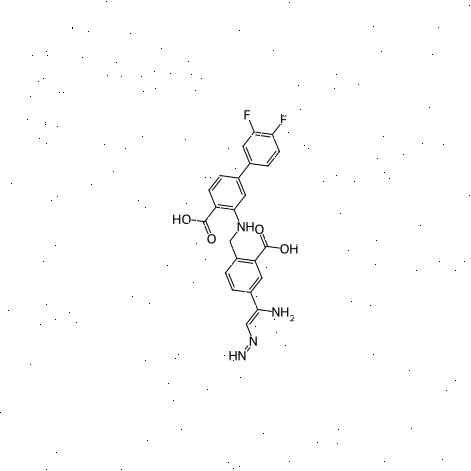 N=N/C=C(\N)c1ccc(CNc2cc(-c3ccc(F)c(F)c3)ccc2C(=O)O)c(C(=O)O)c1